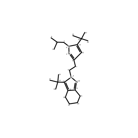 CC(C)Cn1nc(CCn2nc3c(c2C(C)(C)C)CCCC3)cc1C(C)(C)C